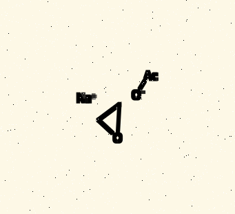 C1CO1.CC(=O)[O-].[Na+]